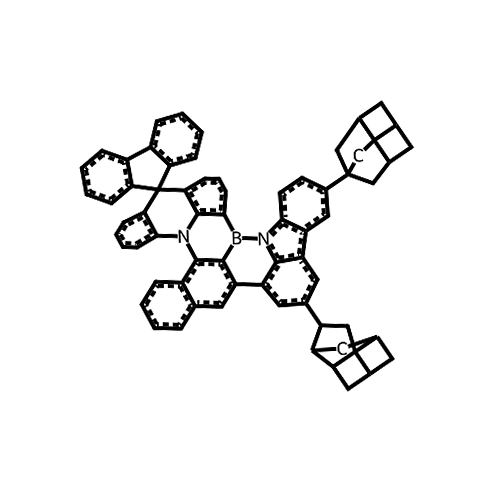 c1ccc2c(c1)-c1ccccc1C21c2ccccc2N2c3c(cccc31)B1c3c(cc4ccccc4c32)-c2cc(C3CC45C6CC3C4CC5C6)cc3c4cc(C56CC7CC8CC(C5)C87C6)ccc4n1c23